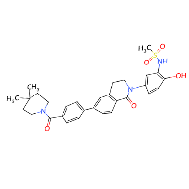 CC1(C)CCN(C(=O)c2ccc(-c3ccc4c(c3)CCN(c3ccc(O)c(NS(C)(=O)=O)c3)C4=O)cc2)CC1